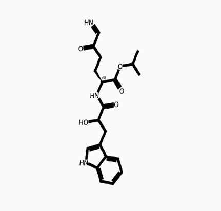 CC(C)OC(=O)[C@H](CCC(=O)C=N)NC(=O)C(O)Cc1c[nH]c2ccccc12